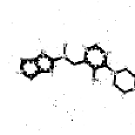 Nc1c(C[S+]([O-])c2nc3cscc3[nH]2)ncnc1N1CCOCC1